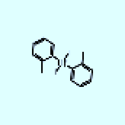 Cc1cccc[c]1[Hf]([I])([I])[c]1ccccc1C